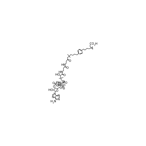 CC(C)(CCCCc1ccc(CCCCC2(CC(=O)O)CC2)cc1)CC(=O)CCNC(=O)CCNC(=O)C(O)C(C)(C)COP(=O)(O)OP(=O)(O)OCC1OC(n2cnc3c(N)ncnc32)C(O)C1OP(=O)(O)O